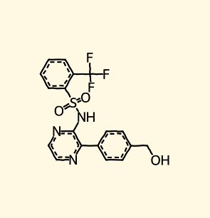 O=S(=O)(Nc1nccnc1-c1ccc(CO)cc1)c1ccccc1C(F)(F)F